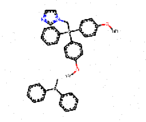 CB(c1ccccc1)c1ccccc1.CCCOc1ccc([Si](Cn2ccnc2)(c2ccccc2)c2ccc(OCCC)cc2)cc1